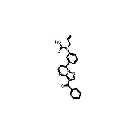 C=CCN(C(=O)O)c1cccc(-c2ccnc3c(C(=O)c4ccccc4)cnn23)c1